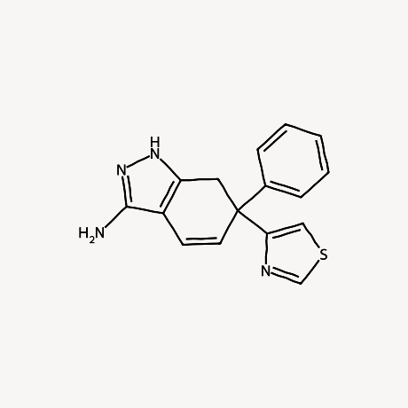 Nc1n[nH]c2c1C=CC(c1ccccc1)(c1cscn1)C2